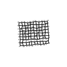 C1C2C3C1C1C4C5C6C7C8CC9C%10C%11C%12C%13C%14C%15C%16C%17CC%18C%19C%20C%21C%22C%23C%24CC%25C%26C%27C%28C%29C%30C%31C2C3C%31C%30C%29C%28C%27C%26C%25%24C%232C3C%23C%24C%25C%26C%27C%28C1C41C54C65C76C89C%107C%118C%129C%13%10C%14%11C%15%12C%16%13C%18%17C%19%14C%20%15C%21%16C%222C32C%233C%24%17C%25%18C%26%19C%27%20C%281C41C54C67C85C96C%107C%118C%129C%14%13C%15%10C%162C32C%173C%18%11C%19%12C%201C45C6%12C7%11C83C%1092